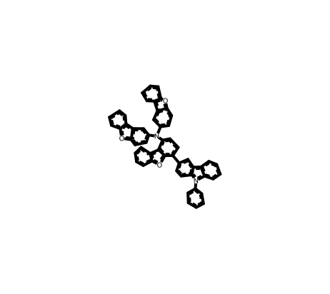 c1ccc(-n2c3ccccc3c3cc(-c4ccc(N(c5ccc6oc7ccccc7c6c5)c5ccc6oc7ccccc7c6c5)c5c4oc4ccccc45)ccc32)cc1